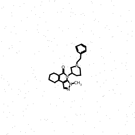 Cn1ncc2c3c(c(=O)n(C4CCCN(CCc5ccccc5)C4)c21)CCCC3